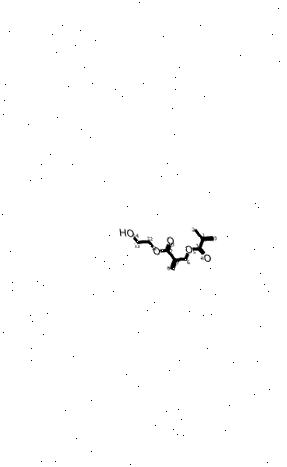 C=C(C)C(=O)OCC(=C)C(=O)OCCO